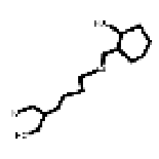 CC1CCCCC1COCCCCC(CO)CO